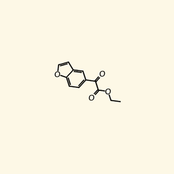 CCOC(=O)C(=O)c1ccc2occc2c1